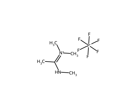 CNC(C)=[N+](C)C.F[P-](F)(F)(F)(F)F